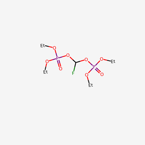 CCOP(=O)(OCC)OC(F)OP(=O)(OCC)OCC